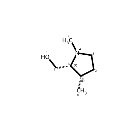 C[C@H]1CCN(C)[C@H]1CO